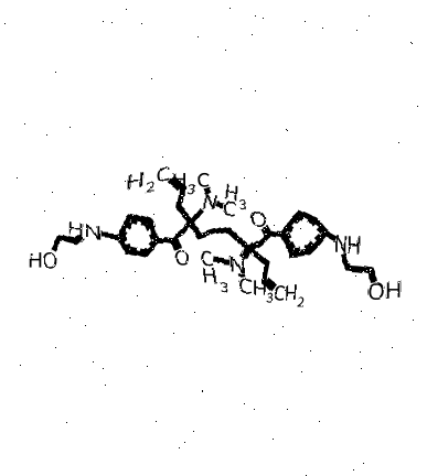 C=CCC(CCC(CC=C)(C(=O)c1ccc(NCCO)cc1)N(C)C)(C(=O)c1ccc(NCCO)cc1)N(C)C